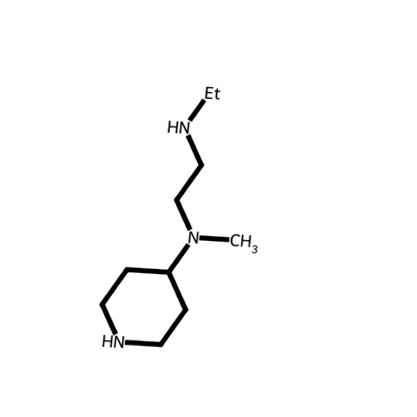 CCNCCN(C)C1CCNCC1